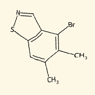 Cc1cc2sncc2c(Br)c1C